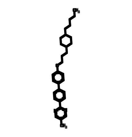 CCCCCC1CCC(CCCOc2ccc(-c3ccc(-c4ncc(C)cn4)cc3)cc2)CC1